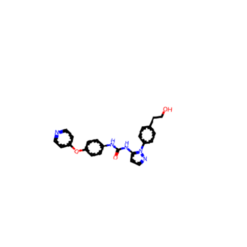 O=C(Nc1ccc(Oc2ccncc2)cc1)Nc1ccnn1-c1ccc(CCO)cc1